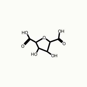 O=C(O)C1OC(C(=O)O)C(O)C1O